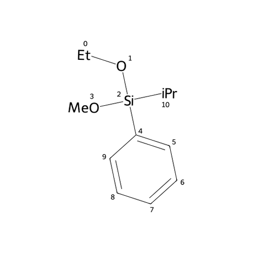 CCO[Si](OC)(c1ccccc1)C(C)C